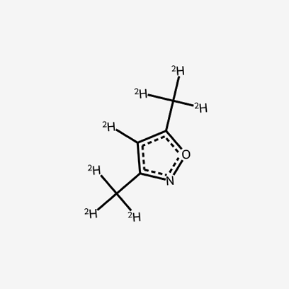 [2H]c1c(C([2H])([2H])[2H])noc1C([2H])([2H])[2H]